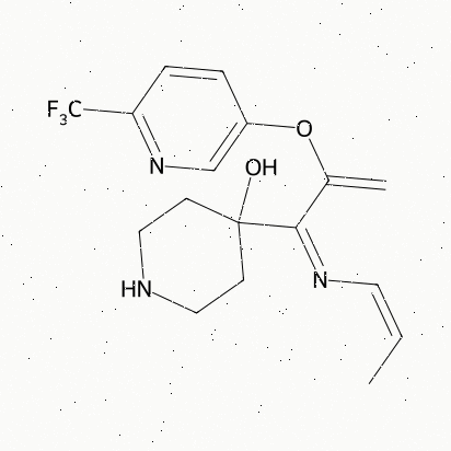 C=C(Oc1ccc(C(F)(F)F)nc1)/C(=N\C=C/C)C1(O)CCNCC1